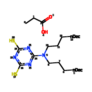 CCC(=O)O.CCCCCCCCCCCCCN(CCCCCCCCCCCCC)c1nc(S)nc(S)n1